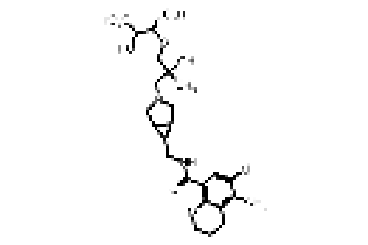 CC(O)(COC(C(=O)O)C(O)C(=O)O)CN1CC2C(CNC(=O)c3cc(Cl)c(N)c4c3OCCC4)C2C1